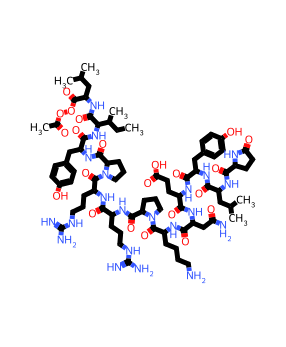 CCC(C)C(NC(=O)C(Cc1ccc(O)cc1)NC(=O)C1CCCN1C(=O)C(CCCNC(=N)N)NC(=O)C(CCCNC(=N)N)NC(=O)C1CCCN1C(=O)C(CCCCN)NC(=O)C(CC(N)=O)NC(=O)C(CCC(=O)O)NC(=O)C(Cc1ccc(O)cc1)NC(=O)C(CC(C)C)NC(=O)C1CCC(=O)N1)C(=O)NC(CC(C)C)C(=O)OOC(C)=O